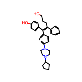 C=C(\C=C/C(=C\C)C(=C(/CCCO)c1ccccc1)/c1ccc(O)cc1)N1CCN(C2CCCC2)CC1